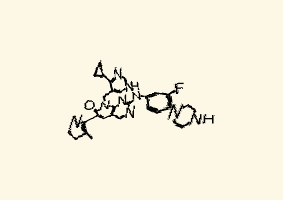 CC1=C(c2cc3cnc(Nc4ccc(N5CCNCC5)c(F)c4)nc3n(Cc3cncnc3C3CC3)c2=O)N=CC1